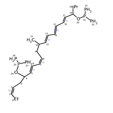 CC/C=C\CC(/C=C/C=C\CC(C)/C=C/C=C/C=C/C(CCC)OP(P)P)OP(P)P